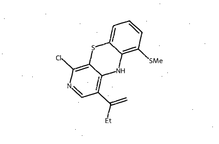 C=C(CC)c1cnc(Cl)c2c1Nc1c(SC)cccc1S2